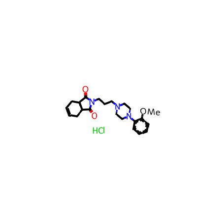 COc1ccccc1N1CCN(CCCN2C(=O)C3CC=CCC3C2=O)CC1.Cl